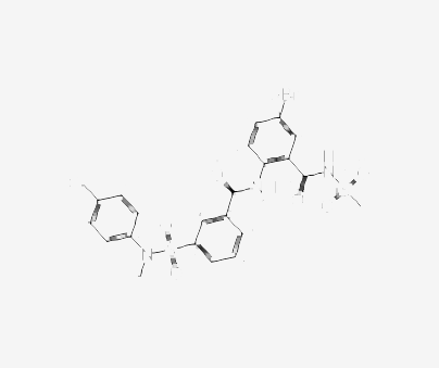 CN(c1ccc(Cl)cc1)S(=O)(=O)c1cccc(C(=O)Nc2ccc(Br)cc2C(=O)NS(C)(=O)=O)c1